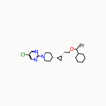 CC(C)C(OCC[C@@H]1C[C@@H]1C1CCN(c2ncc(Cl)cn2)CC1)C1CCCCC1